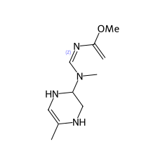 C=C(/N=C\N(C)C1CNC(C)=CN1)OC